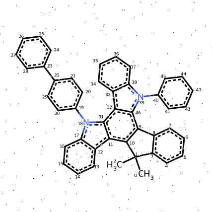 CC1(C)c2ccccc2-c2c1c1c3ccccc3n(-c3ccc(-c4ccccc4)cc3)c1c1c3ccccc3n(-c3ccccc3)c21